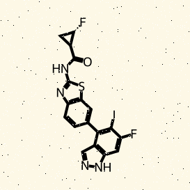 O=C(Nc1nc2ccc(-c3c(I)c(F)cc4[nH]ncc34)cc2s1)C1C[C@@H]1F